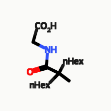 CCCCCCC(C)(CCCCCC)C(=O)NCC(=O)O